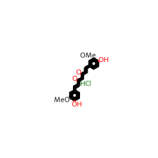 COc1cc(/C=C/C(=O)CC(=O)/C=C/c2ccc(O)c(OC)c2)ccc1O.Cl